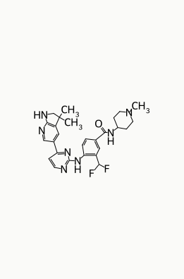 CN1CCC(NC(=O)c2ccc(Nc3nccc(-c4cnc5c(c4)C(C)(C)CN5)n3)c(C(F)F)c2)CC1